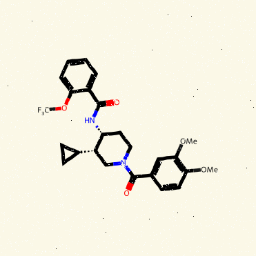 COc1ccc(C(=O)N2CC[C@@H](NC(=O)c3ccccc3OC(F)(F)F)[C@@H](C3CC3)C2)cc1OC